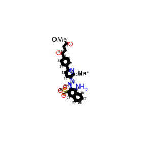 COC(=O)CCC(=O)c1ccc(-c2ccc(N=Nc3c(S(=O)(=O)[O-])cc4ccccc4c3N)cn2)cc1.[Na+]